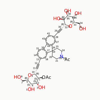 CC(=O)O[C@H]1[C@@H](O)[C@H](O)[C@@H](CO)O[C@@H]1C#Cc1ccc2c(c1)C1(CCN(C(C)=O)CC1)c1cc(C#C[C@H]3O[C@H](CO)[C@@H](O)[C@H](O)[C@@H]3O)ccc1-2